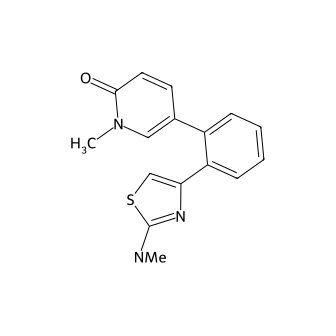 CNc1nc(-c2ccccc2-c2ccc(=O)n(C)c2)cs1